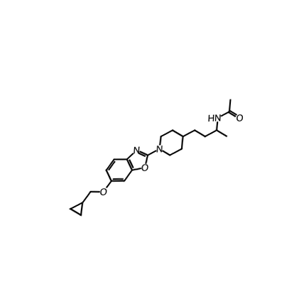 CC(=O)NC(C)CCC1CCN(c2nc3ccc(OCC4CC4)cc3o2)CC1